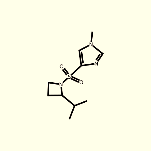 CC(C)C1CCN1S(=O)(=O)c1cn(C)cn1